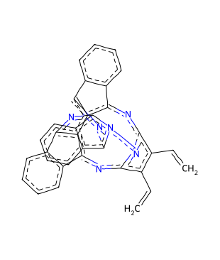 C=Cc1c(C=C)c2nc3c4c(nc5c6ccccc6c6nc7c4c(nc1n2n65)-c1ccccc1-7)-c1ccccc1-3